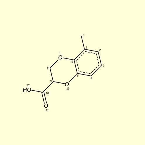 Cc1cccc2c1OCC(C(=O)O)O2